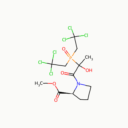 COC(=O)[C@@H]1CCCN1C(=O)C(C)(O)P(=O)(CC(Cl)(Cl)Cl)CC(Cl)(Cl)Cl